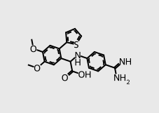 COc1cc(-c2cccs2)c(C(Nc2ccc(C(=N)N)cc2)C(=O)O)cc1OC